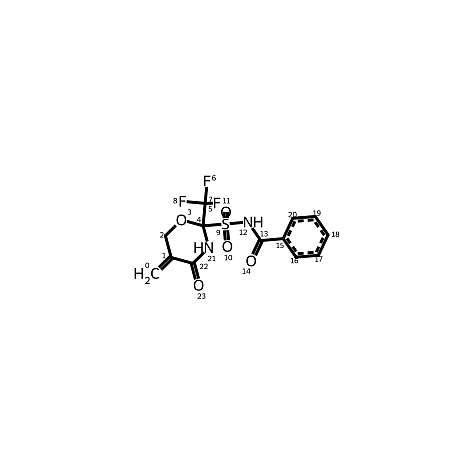 C=C1COC(C(F)(F)F)(S(=O)(=O)NC(=O)c2ccccc2)NC1=O